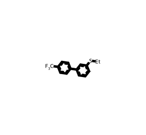 CCSc1[c]ccc(-c2ccc(C(F)(F)F)cc2)c1